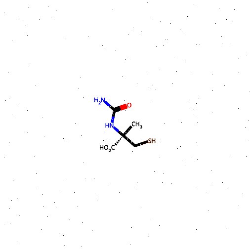 C[C@@](CS)(NC(N)=O)C(=O)O